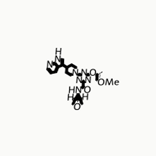 COC[C@@H](C)Oc1nc(C(=O)NC2[C@H]3COC[C@@H]23)nc(N2CCC(c3c[nH]c4ncccc34)CC2)n1